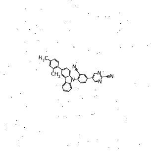 Cc1ccc(-c2ccc3c(c2)c2ccccc2n3-c2ccc(-c3cnc(C#N)nc3)cc2C#N)c(C)c1